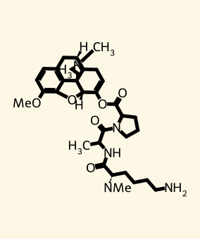 CN[C@@H](CCCCN)C(=O)NC(C)C(=O)N1CCCC1C(=O)OC1=CC[C@@]2(C)[C@H]3Cc4ccc(OC)c5c4[C@@]2(CCN3C)[C@H]1O5